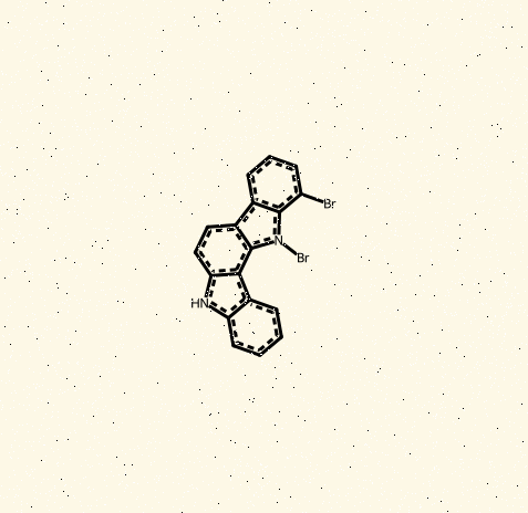 Brc1cccc2c3ccc4[nH]c5ccccc5c4c3n(Br)c12